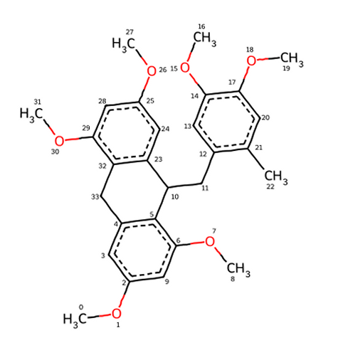 COc1cc2c(c(OC)c1)C(Cc1cc(OC)c(OC)cc1C)c1cc(OC)cc(OC)c1C2